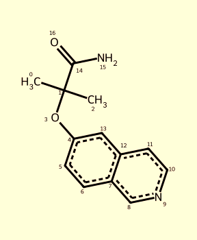 CC(C)(Oc1ccc2cnccc2c1)C(N)=O